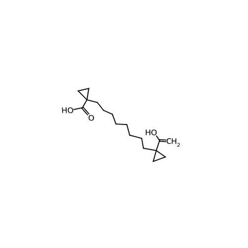 C=C(O)C1(CCCCCCCCC2(C(=O)O)CC2)CC1